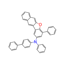 c1ccc(-c2ccc(N(c3ccccc3)c3cc(-c4ccccc4)c4oc5cc6ccccc6cc5c4c3)cc2)cc1